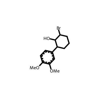 COc1ccc(C2CCCC(Br)C2O)cc1OC